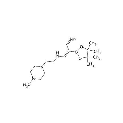 CN1CCN(CCN/C=C(\C=N)B2OC(C)(C)C(C)(C)O2)CC1